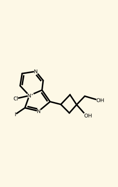 OCC1(O)CC(C2=C3C=NC=C[N+]3(Cl)C(I)=N2)C1